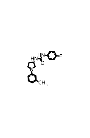 Cc1cccc(N2CC[C@H](NC(=O)Nc3ccc(F)cc3)C2)c1